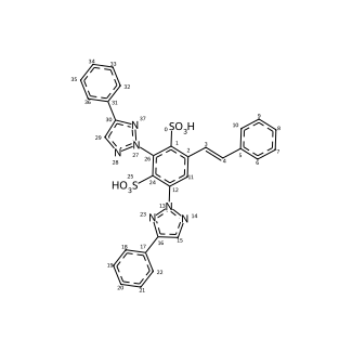 O=S(=O)(O)c1c(C=Cc2ccccc2)cc(-n2ncc(-c3ccccc3)n2)c(S(=O)(=O)O)c1-n1ncc(-c2ccccc2)n1